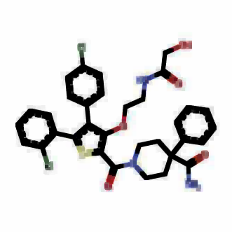 NC(=O)C1(c2ccccc2)CCN(C(=O)c2sc(-c3ccccc3Cl)c(-c3ccc(Cl)cc3)c2OCCNC(=O)CO)CC1